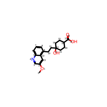 COc1cnc2cccc(CCC3(O)CCC(C(=O)O)CC3)c2c1